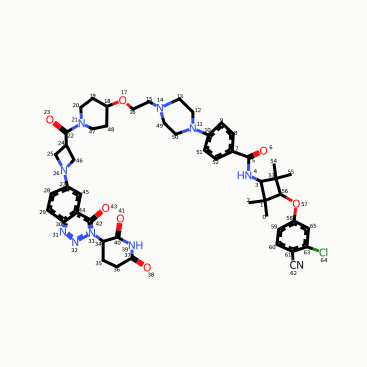 CC1(C)C(NC(=O)c2ccc(N3CCN(CCOC4CCN(C(=O)C5CN(c6ccc7nnn(C8CCC(=O)NC8=O)c(=O)c7c6)C5)CC4)CC3)cc2)C(C)(C)C1Oc1ccc(C#N)c(Cl)c1